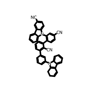 N#Cc1ccc(-c2cccc(-c3cccc(-n4c5c(c6ccccc64)C=CCC5)c3)c2C#N)c(-n2c3ccccc3c3cc(C#N)ccc32)c1